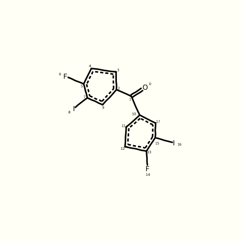 O=C(c1ccc(F)c(I)c1)c1ccc(F)c(I)c1